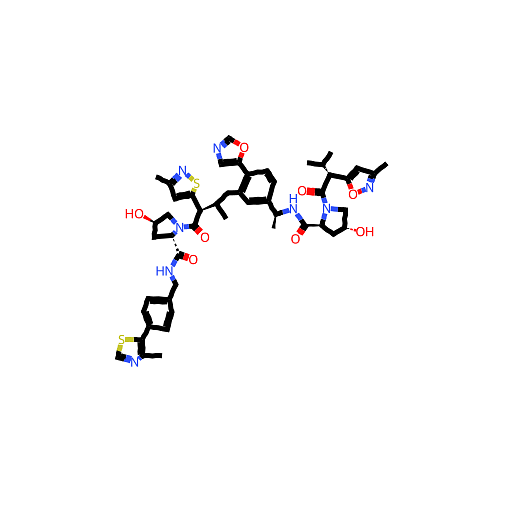 Cc1cc([C@H](C(=O)N2C[C@H](O)C[C@H]2C(=O)N[C@@H](C)c2ccc(-c3cnco3)c(CC(C)[C@@H](C(=O)N3C[C@H](O)C[C@H]3C(=O)NCc3ccc(-c4scnc4C)cc3)c3cc(C)ns3)c2)C(C)C)on1